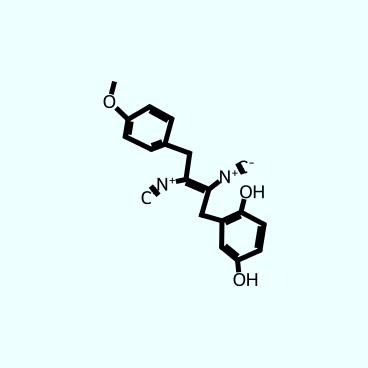 [C-]#[N+]C(Cc1ccc(OC)cc1)=C(Cc1cc(O)ccc1O)[N+]#[C-]